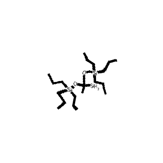 CCC[Si](CCC)(CCC)OC(C)([SiH3])O[Si](CCC)(CCC)CCC